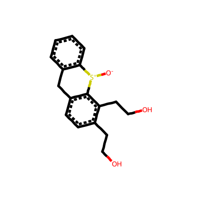 [O-][S+]1c2ccccc2Cc2ccc(CCO)c(CCO)c21